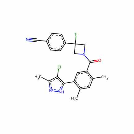 Cc1cc(C)c(-c2[nH]nc(C)c2Cl)cc1C(=O)N1CC(F)(c2ccc(C#N)cc2)C1